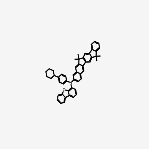 CC1(C)c2ccccc2-c2cc3c(cc21)-c1cc2ccc(N(c4ccc(C5CCCCC5)cc4)c4cccc5c4oc4ccccc45)cc2cc1C3(C)C